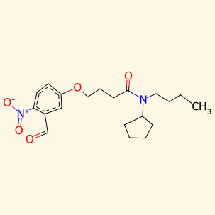 CCCCN(C(=O)CCCOc1ccc([N+](=O)[O-])c(C=O)c1)C1CCCC1